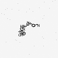 CN=Cc1cccc(Cn2cc(CNc3ncc4c(n3)N3CCC[C@H]3C(=O)N4C)cn2)c1